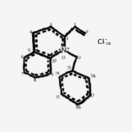 C=Cc1ccc2ccccc2[n+]1Cc1ccccc1.[Cl-]